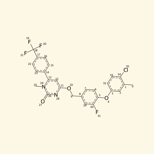 Cc1cc(Oc2ccc(COc3cc(-c4ccc(C(F)(F)F)cc4)n(C)c(=O)n3)cc2F)ccc1Cl